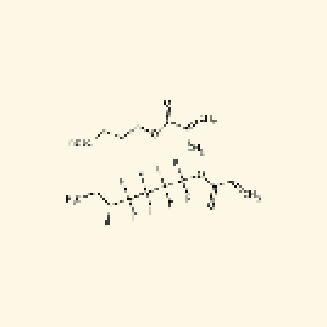 C=C(C)C(=O)OCCCCCCCCCCCCC.C=CC(=O)OC(F)(F)C(F)(F)C(F)(F)C(F)(F)C(F)CC(F)(F)F